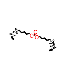 C=C[Si](C)(C)C[Si](C)(C)CCCCCOC(=O)OCCCCC[Si](C)(C)C[Si](C)(C)C=C